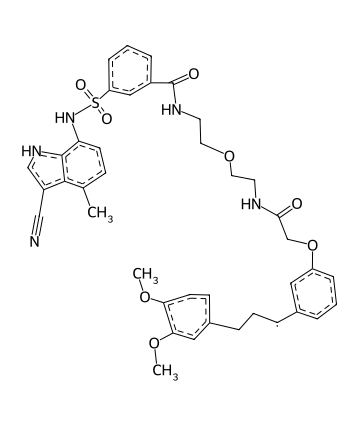 COc1ccc(CC[CH]c2cccc(OCC(=O)NCCOCCNC(=O)c3cccc(S(=O)(=O)Nc4ccc(C)c5c(C#N)c[nH]c45)c3)c2)cc1OC